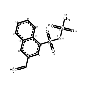 C=Cc1cc(S(=O)(=O)NS(=O)(=O)C(F)(F)F)c2ccccc2c1